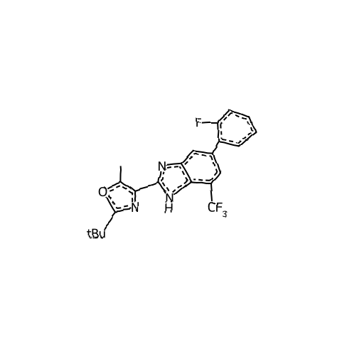 Cc1oc(C(C)(C)C)nc1-c1nc2cc(-c3ccccc3F)cc(C(F)(F)F)c2[nH]1